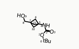 CC(C)(C)OC(=O)NC12CC(CO)(C1)C2